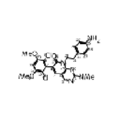 CNc1ncc2cc(-c3c(Cl)c(OC)cc(OC)c3Cl)c(=O)n(CCc3ccc(N)cc3)c2n1